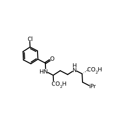 CC(C)C[C@H](NCCC(NC(=O)c1cccc(Cl)c1)C(=O)O)C(=O)O